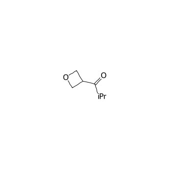 CC(C)C(=O)C1COC1